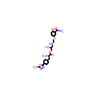 NC(=O)c1cc(OCCNCC(O)COC(=O)[C@@H](N)Cc2ccc(-c3nnc(C(F)(F)F)o3)cc2)ccc1O